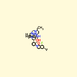 C/C=C(\C=C/C(=N)N/C(C=O)=C/C(=C\N(C)C)c1cccc(-n2ccc3cc(C4CC4)cc(F)c3c2=O)c1CO)N1CCN(C)CC1